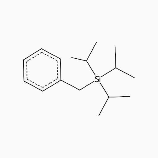 CC(C)[Si](Cc1ccccc1)(C(C)C)C(C)C